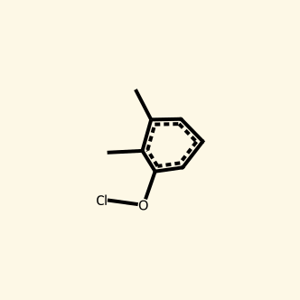 Cc1cccc(OCl)c1C